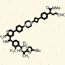 C=C(N[C@H](N)c1ccc(C(=N)c2cc(-c3ccc(N4CCN(C5CC(c6ccc(C(CCC=O)C(=O)NC)cc6)C5)CC4)cc3)cnc2N)cc1C)C1=NCC(C(C)(C)C)=N1